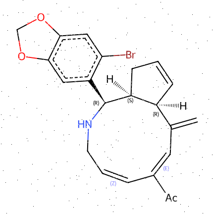 C=C1/C=C(C(C)=O)\C=C/CN[C@@H](c2cc3c(cc2Br)OCO3)[C@H]2CC=C[C@@H]12